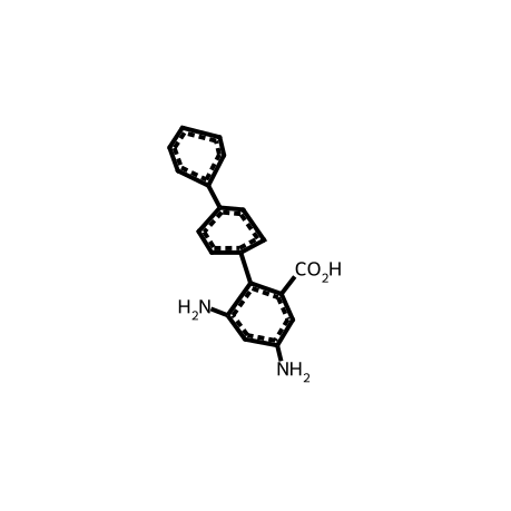 Nc1cc(N)c(-c2ccc(-c3ccccc3)cc2)c(C(=O)O)c1